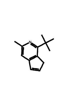 Cc1cc2c(c(C(C)(C)C)n1)CC=C2